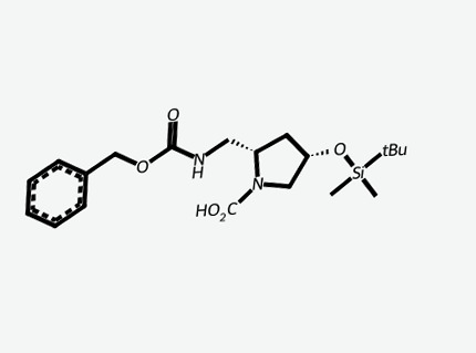 CC(C)(C)[Si](C)(C)O[C@H]1C[C@@H](CNC(=O)OCc2ccccc2)N(C(=O)O)C1